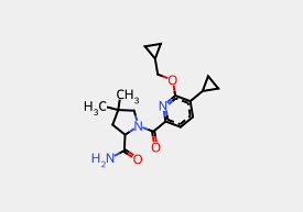 CC1(C)CC(C(N)=O)N(C(=O)c2ccc(C3CC3)c(OCC3CC3)n2)C1